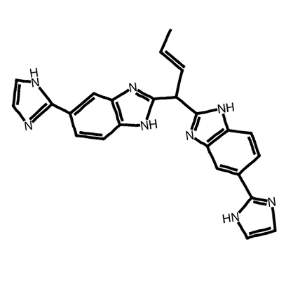 CC=CC(c1nc2cc(-c3ncc[nH]3)ccc2[nH]1)c1nc2cc(-c3ncc[nH]3)ccc2[nH]1